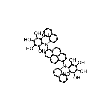 Oc1c(O)c(O)c(N(c2cccc3ccccc23)c2ccc3ccc4c(N(c5c(O)c(O)c(O)c(O)c5O)c5cccc6ccccc56)ccc5ccc2c3c54)c(O)c1O